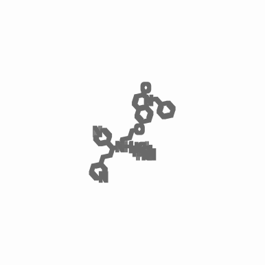 Cl.Cl.Cl.O=c1ccc2cc(OCCCNC(CCc3cccnc3)c3ccncc3)ccc2n1Cc1ccccc1